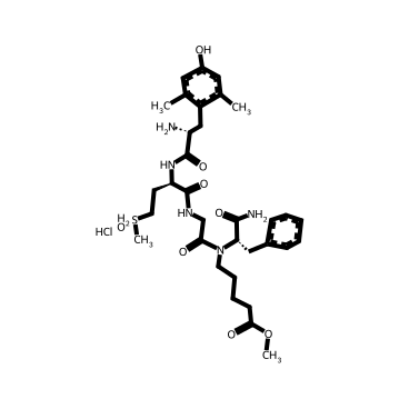 COC(=O)CCCCN(C(=O)CNC(=O)[C@@H](CCSC)NC(=O)[C@H](N)Cc1c(C)cc(O)cc1C)[C@@H](Cc1ccccc1)C(N)=O.Cl.O